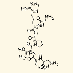 C[C@@H](O)[C@H](NC(=O)[C@H](CS(=O)(=O)O)NC(=O)CN)C(=O)N1CCC[C@H]1C(=O)OC(=O)[C@H](CCCNC(=N)N)NC(=O)CN